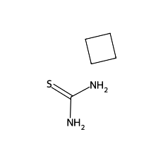 C1CCC1.NC(N)=S